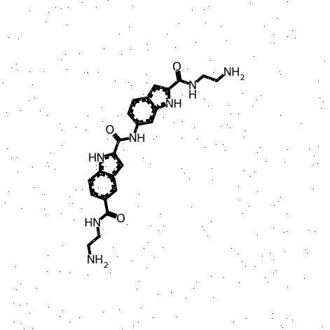 NCCNC(=O)c1ccc2[nH]c(C(=O)Nc3ccc4cc(C(=O)NCCN)[nH]c4c3)cc2c1